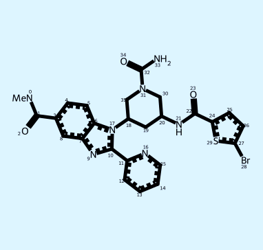 CNC(=O)c1ccc2c(c1)nc(-c1ccccn1)n2C1CC(NC(=O)c2ccc(Br)s2)CN(C(N)=O)C1